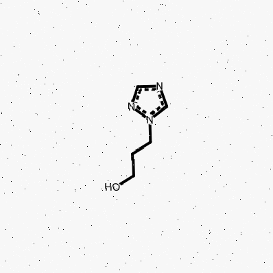 OCCCn1cn[c]n1